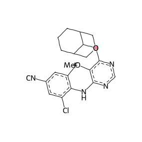 [C-]#[N+]c1cc(F)c(Nc2ncnc(OC3C4CCCC3COC4)c2OC)c(Cl)c1